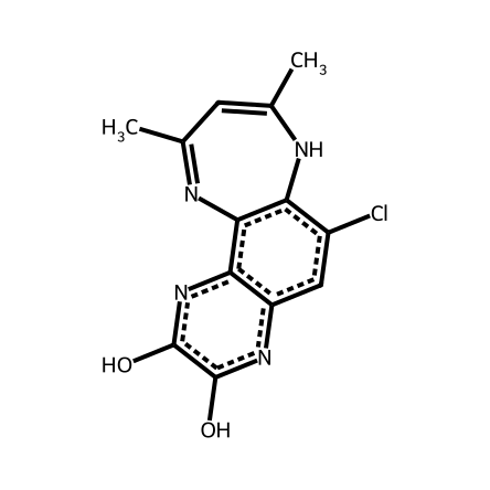 CC1=CC(C)=Nc2c(c(Cl)cc3nc(O)c(O)nc23)N1